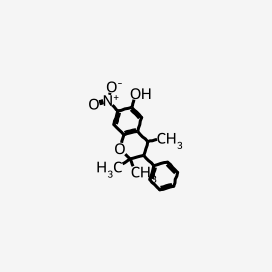 CC1c2cc(O)c([N+](=O)[O-])cc2OC(C)(C)C1c1ccccc1